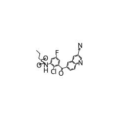 CCCS(=O)(=O)Nc1cc(F)cc(C(=O)c2ccc3ncc(C#N)cc3c2)c1Cl